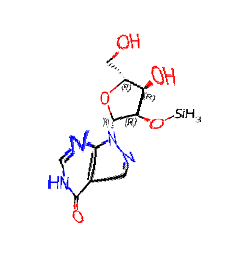 O=c1[nH]cnc2c1cnn2[C@@H]1O[C@H](CO)[C@@H](O)[C@H]1O[SiH3]